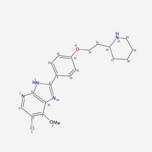 COc1c(Cl)cnc2[nH]c(-c3ccc(OCCC4CCCCN4)cc3)nc12